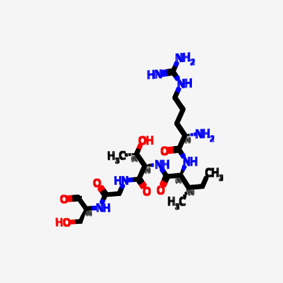 CC[C@H](C)[C@H](NC(=O)[C@@H](N)CCCNC(=N)N)C(=O)N[C@H](C(=O)NCC(=O)N[C@H]([C]=O)CO)[C@H](C)O